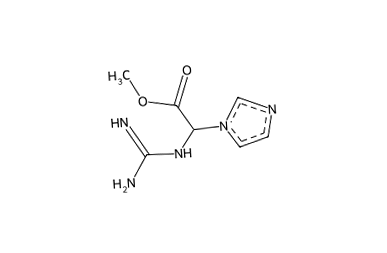 COC(=O)C(NC(=N)N)n1ccnc1